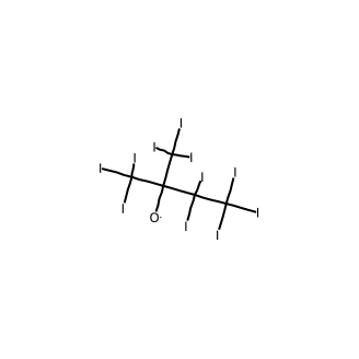 [O]C(C(I)(I)I)(C(I)(I)I)C(I)(I)C(I)(I)I